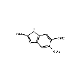 CCCCc1nc2cc(OC)c(OC)cc2[nH]1